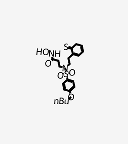 CCCCOc1ccc(S(=O)(=O)N(CCC(=O)NO)CCC2=CC=CCC2=S)cc1